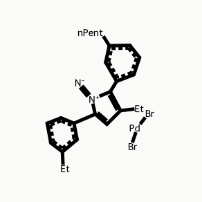 CCCCCc1cccc(C2=C(CC)C=C(c3cccc(CC)c3)[N+]2=[N-])c1.[Br][Pd][Br]